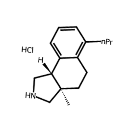 CCCc1cccc2c1CC[C@@]1(C)CNC[C@H]21.Cl